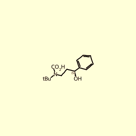 CC(C)(C)N(CC[C@H](O)c1ccccc1)C(=O)O